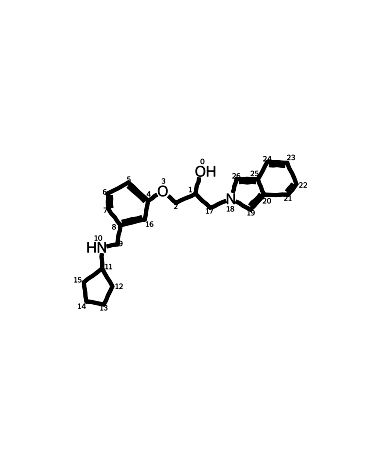 OC(COc1cccc(CNC2CCCC2)c1)Cn1cc2ccccc2c1